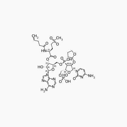 C=CCCC(=O)N[C@@H](CCS(C)(=O)=O)C(=O)O[C@H]1[C@@H](O)[C@H](n2cnc3c(N)ncnc32)O[C@@H]1COP(=O)(O)[C@H]1[C@@H](OC2CCCO2)[C@H](n2ccc(N)nc2=O)O[C@@H]1COP(=O)(O)O